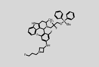 CC1Cc2[nH]c3ccccc3c2C(c2c(F)cc(NC3CN(CCCF)C3)cc2F)N1CC(F)(F)CO[Si](c1ccccc1)(c1ccccc1)C(C)(C)C